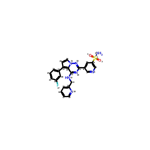 NS(=O)(=O)c1cncc(-c2nc(NCc3ccccn3)c3c(-c4cccc(F)c4)ccn3n2)c1